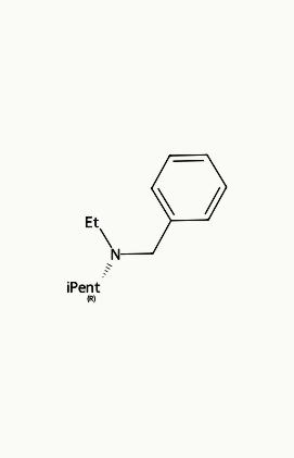 CCC[C@@H](C)N(CC)Cc1ccccc1